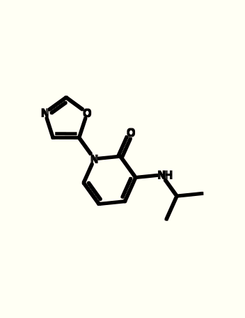 CC(C)Nc1cccn(-c2cnco2)c1=O